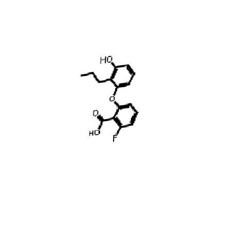 CCCc1c(O)cccc1Oc1cccc(F)c1C(=O)O